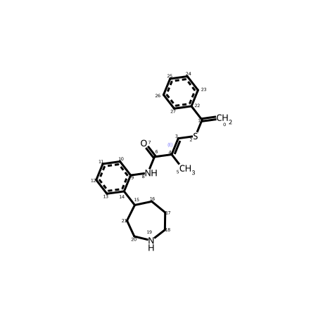 C=C(S/C=C(\C)C(=O)Nc1ccccc1C1CCCNCC1)c1ccccc1